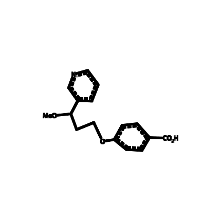 COC(CCOc1ccc(C(=O)O)cc1)c1cccnc1